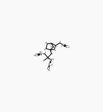 [C-]#[N+]CC1CC2(CC(C)(C[N+]#[C-])N=C=O)CCC1C2